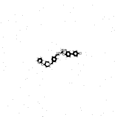 O=C(NCCc1ccc(CN2CCC(Oc3ccccn3)CC2)cc1)Oc1ccc(-c2ccc(Cl)cc2)cc1[N+](=O)[O-]